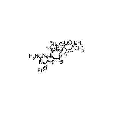 CCOc1nc(N)nc2c1cc(C(=O)OCC1CC(C)(C)OOC1(C)OC)n2C1CCCC1